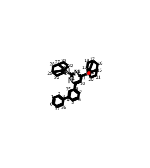 c1ccc(-c2cccc(-c3cc(N4C5CC6CC(C5)CC4C6)nc(N4C5CC6CC(C5)CC4C6)n3)c2)cc1